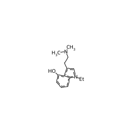 CCn1cc(CCN(C)C)c2c(O)cccc21